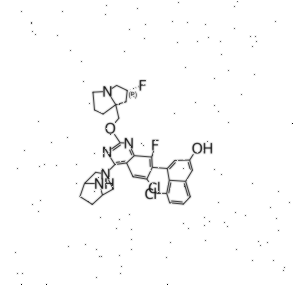 Oc1cc(-c2c(Cl)cc3c(N4CC5CCC(C4)N5)nc(OCC45CCCN4C[C@H](F)C5)nc3c2F)c2c(Cl)cccc2c1